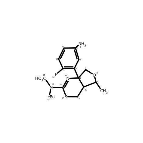 CC1OCC2(c3cc(N)ccc3F)N=C(N(C(=O)O)C(C)(C)C)SCC12